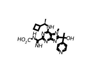 C[C@@H](Nc1nc(C(=N)NC(=O)O)nc2nc(C(C)(O)c3ccncc3)n(C)c12)C1CCC1